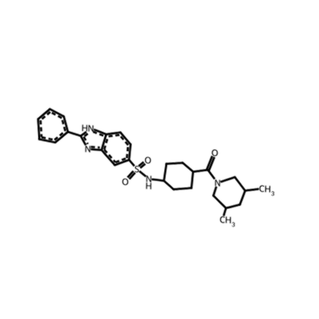 CC1CC(C)CN(C(=O)C2CCC(NS(=O)(=O)c3ccc4[nH]c(-c5ccccc5)nc4c3)CC2)C1